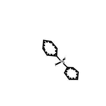 [I][Pb]([I])([c]1ccccc1)[c]1ccccc1